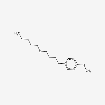 [CH2]CCCCOCCCCc1ccc(OC)cc1